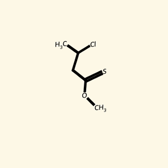 COC(=S)CC(C)Cl